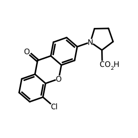 O=C(O)C1CCCN1c1ccc2c(=O)c3cccc(Cl)c3oc2c1